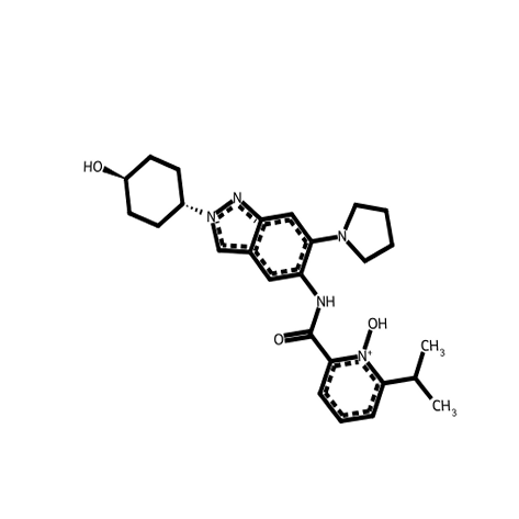 CC(C)c1cccc(C(=O)Nc2cc3cn([C@H]4CC[C@H](O)CC4)nc3cc2N2CCCC2)[n+]1O